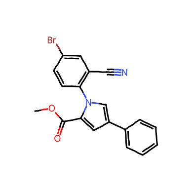 COC(=O)c1cc(-c2ccccc2)cn1-c1ccc(Br)cc1C#N